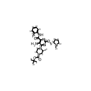 C[C@H]1CN(C(=O)OC(C)(C)C)CCN1c1nc(OC[C@@H]2CCCN2C)nc(C(=O)Nc2ccccc2F)c1N